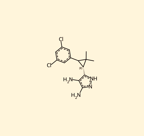 CC1(C)C(c2cc(Cl)cc(Cl)c2)[C@H]1c1[nH]nc(N)c1N